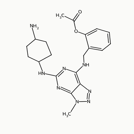 CC(=O)Oc1ccccc1CNc1nc(NC2CCC(N)CC2)nc2c1nnn2C